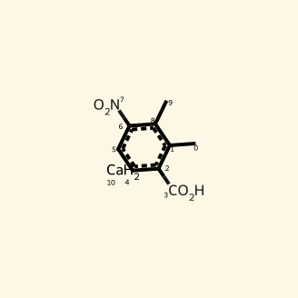 Cc1c(C(=O)O)ccc([N+](=O)[O-])c1C.[CaH2]